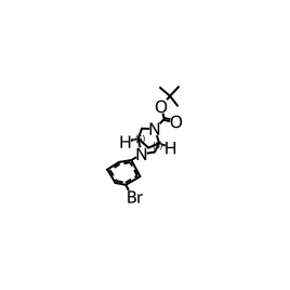 CC(C)(C)OC(=O)N1C[C@@H]2C[C@H]1CN2c1cccc(Br)c1